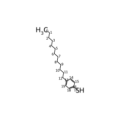 CCCCCCCCCCCCCc1ccc(S)cc1